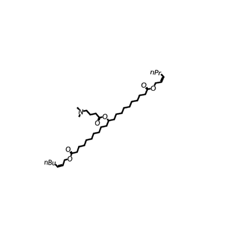 CCC/C=C\COC(=O)CCCCCCCCCC(CCCCCCCCCC(=O)OC/C=C\CCCC)OC(=O)CCCN(C)C